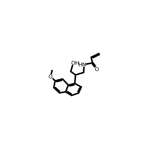 C=CC(=O)NCC(CO)c1cccc2ccc(OC)cc12